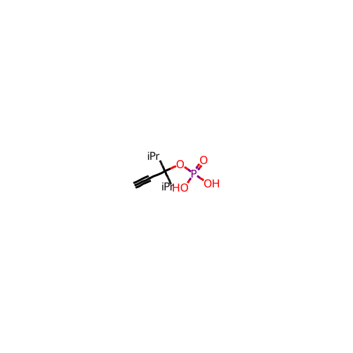 C#CC(OP(=O)(O)O)(C(C)C)C(C)C